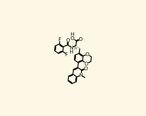 Cn1c(=O)c(-c2ccc(C[C@H](NC(=O)c3c(F)cccc3F)C(=O)O)c3c2OCCO3)cc2ccccc21